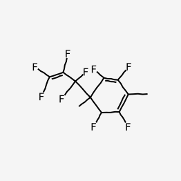 CC1=C(F)C(F)C(C)(C(F)(F)C(F)=C(F)F)C(F)=C1F